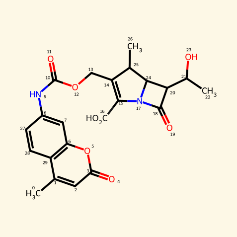 Cc1cc(=O)oc2cc(NC(=O)OCC3=C(C(=O)O)N4C(=O)C(C(C)O)C4C3C)ccc12